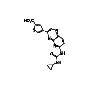 O=C(Nc1ccc2ncc(-c3csc(C(=O)O)c3)nc2n1)NC1CC1